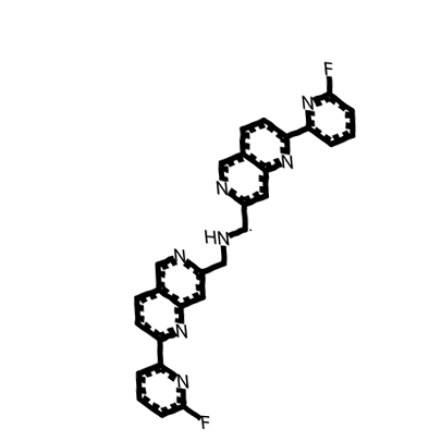 Fc1cccc(-c2ccc3cnc([CH]NCc4cc5nc(-c6cccc(F)n6)ccc5cn4)cc3n2)n1